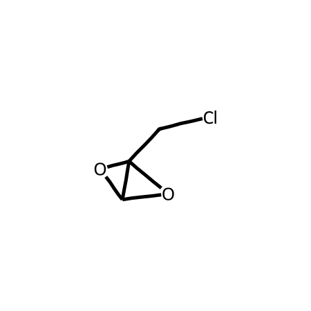 ClCC12OC1O2